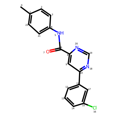 Cc1ccc(NC(=O)c2cc(-c3cccc(Cl)c3)ncn2)cc1